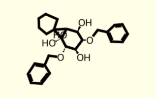 O[C@@H]1[C@@H](OCc2ccccc2)[C@H](O)[C@]2(O)C3(CCCCC3)[C@]2(O)[C@H]1OCc1ccccc1